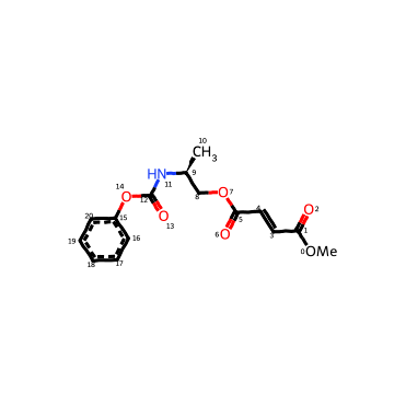 COC(=O)/C=C/C(=O)OC[C@H](C)NC(=O)Oc1ccccc1